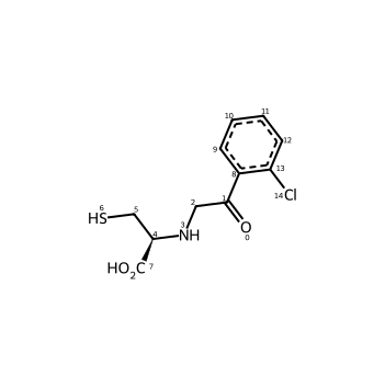 O=C(CN[C@H](CS)C(=O)O)c1ccccc1Cl